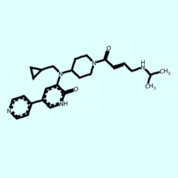 CC(C)NCC=CC(=O)N1CCC(N(CC2CC2)c2cc(-c3ccncc3)c[nH]c2=O)CC1